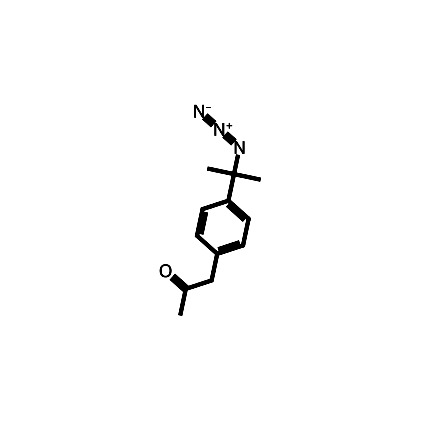 CC(=O)Cc1ccc(C(C)(C)N=[N+]=[N-])cc1